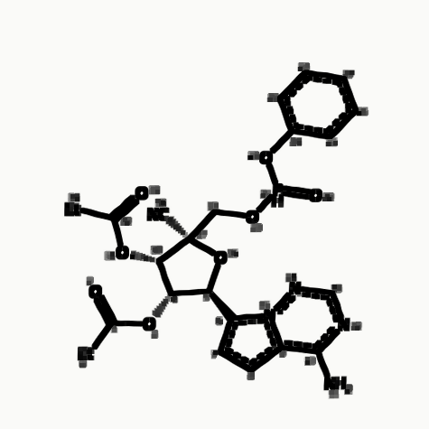 CCC(=O)O[C@H]1[C@H](c2ccc3c(N)ncnn23)O[C@](C#N)(CO[PH](=O)Oc2ccccc2)[C@H]1OC(=O)CC